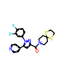 O=C(c1cc(-c2ccncc2)n(-c2ccc(F)c(F)c2)n1)N1CCC2(CC1)SCCS2